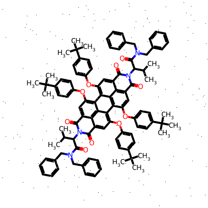 CC(C)C(C(=O)N(Cc1ccccc1)Cc1ccccc1)N1C(=O)c2cc(Oc3ccc(C(C)(C)C)cc3)c3c4c(Oc5ccc(C(C)(C)C)cc5)cc5c6c(cc(Oc7ccc(C(C)(C)C)cc7)c(c7c(Oc8ccc(C(C)(C)C)cc8)cc(c2c37)C1=O)c64)C(=O)N(C(C(=O)N(Cc1ccccc1)Cc1ccccc1)C(C)C)C5=O